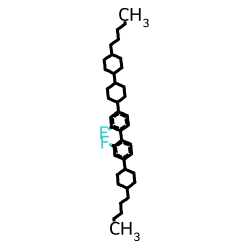 CCCCCC1CCC(c2ccc(-c3ccc(C4CCC(C5CCC(CCCCC)CC5)CC4)cc3F)c(F)c2)CC1